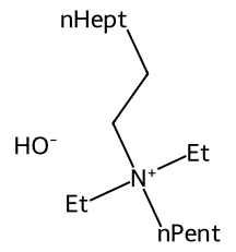 CCCCCCCCC[N+](CC)(CC)CCCCC.[OH-]